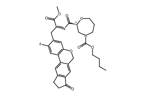 CCCCOC(=O)N1CCCO[C@H](C(=O)N=C(Cc2cc3c(cc2F)-c2cc4c(cc2CO3)C(=O)CC4)C(=O)OC)C1